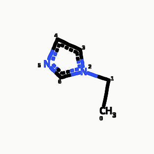 CCn1ccnc1